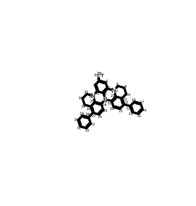 CC(C)c1cc2c3c(c1)N1CCCc4c(-c5ccccc5)ccc(c41)B3c1ccc(-c3ccccc3)c3c1N2CCC3